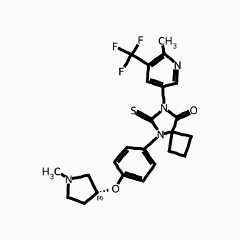 Cc1ncc(N2C(=O)C3(CCC3)N(c3ccc(O[C@@H]4CCN(C)C4)cc3)C2=S)cc1C(F)(F)F